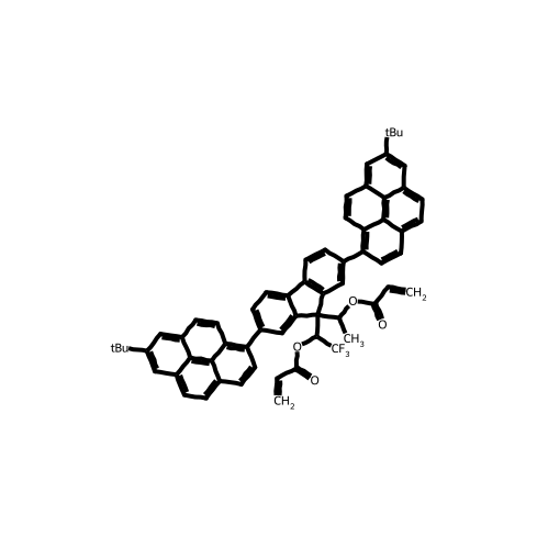 C=CC(=O)OC(C)C1(C(OC(=O)C=C)C(F)(F)F)c2cc(-c3ccc4ccc5cc(C(C)(C)C)cc6ccc3c4c56)ccc2-c2ccc(-c3ccc4ccc5cc(C(C)(C)C)cc6ccc3c4c56)cc21